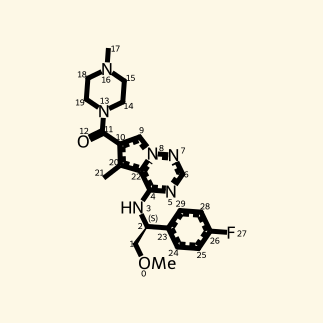 COC[C@@H](Nc1ncnn2cc(C(=O)N3CCN(C)CC3)c(C)c12)c1ccc(F)cc1